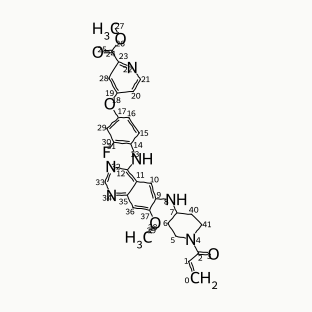 C=CC(=O)N1CCC(Nc2cc3c(Nc4ccc(Oc5ccnc(C(=O)OC)c5)cc4F)ncnc3cc2OC)CC1